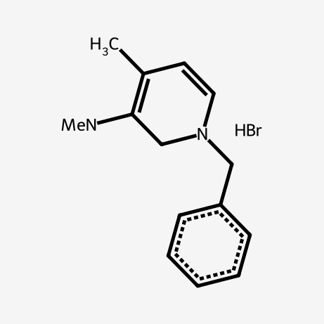 Br.CNC1=C(C)C=CN(Cc2ccccc2)C1